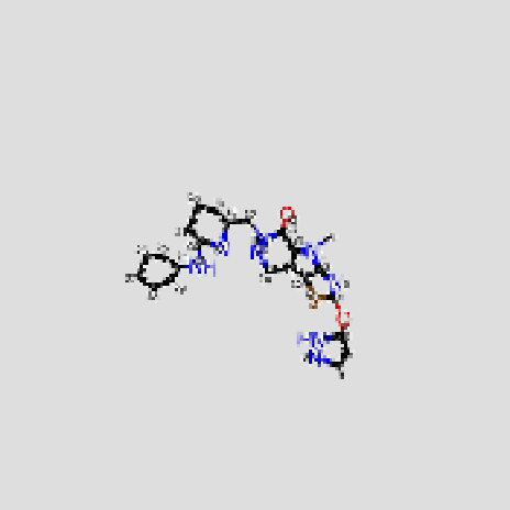 Cn1c2nc(Oc3ccn[nH]3)sc2c2cnn(Cc3cccc(Nc4ccccc4)n3)c(=O)c21